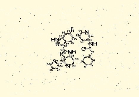 O=C(Cc1ccccc1)Nc1cncc(-c2cc3c(-c4nc5c(-c6cccs6)nccc5[nH]4)n[nH]c3cc2F)c1